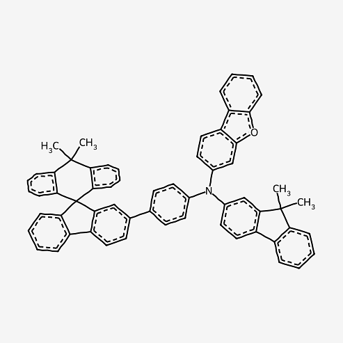 CC1(C)c2ccccc2-c2ccc(N(c3ccc(-c4ccc5c(c4)C4(c6ccccc6-5)c5ccccc5C(C)(C)c5ccccc54)cc3)c3ccc4c(c3)oc3ccccc34)cc21